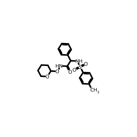 Cc1ccc(S(=O)(=O)NC(C(=O)NOC2CCCCO2)c2ccccc2)cc1